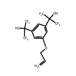 C=CCOc1cc(C(O)(C(F)(F)F)C(F)(F)F)cc(C(O)(C(F)(F)F)C(F)(F)F)c1